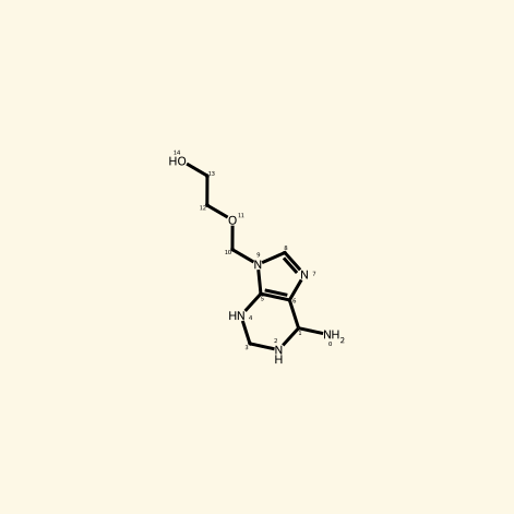 NC1NCNc2c1ncn2COCCO